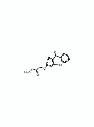 COCC(=O)COc1ccc(C(=O)c2ccccc2)c(O)c1